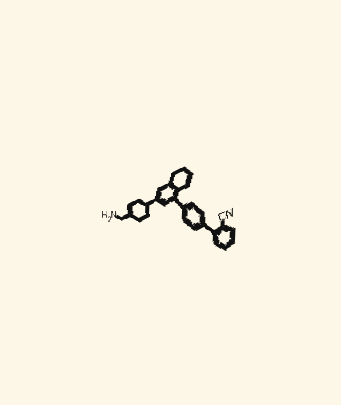 N#Cc1ccccc1-c1ccc(-c2cc(C3CC=C(CN)CC3)cc3c2C=CCC3)cc1